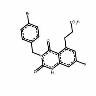 O=C(O)CCc1cc(F)cc2[nH]c(=O)n(Cc3ccc(Br)cc3)c(=O)c12